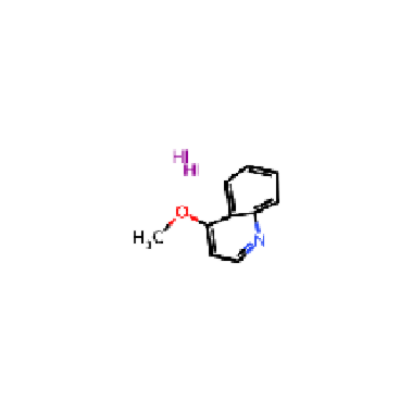 COc1ccnc2ccccc12.I.I